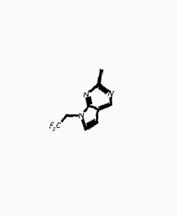 Cc1ncc2ccn(CC(F)(F)F)c2n1